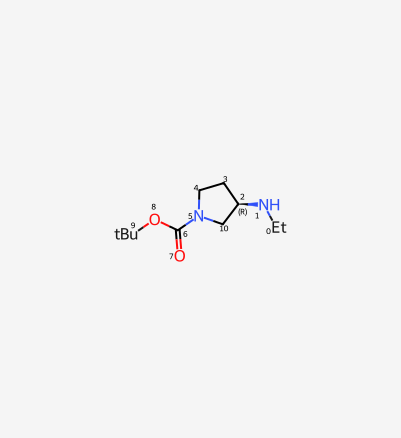 CCN[C@@H]1CCN(C(=O)OC(C)(C)C)C1